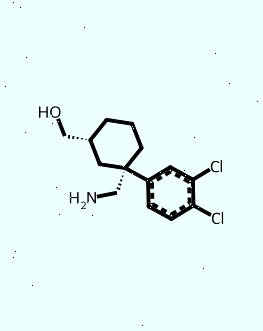 NC[C@@]1(c2ccc(Cl)c(Cl)c2)CCC[C@@H](CO)C1